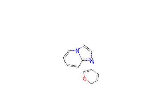 C1=CCOC=C1.c1ccn2ccnc2c1